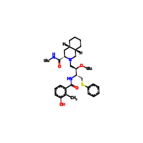 Cc1c(O)cccc1C(=O)N[C@@H](CSc1ccccc1)[C@@H](CN1C[C@H]2CCCC[C@H]2C[C@H]1C(=O)NC(C)(C)C)OC(C)(C)C